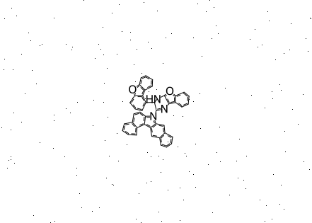 c1ccc2cc3c(cc2c1)c1c2ccccc2ccc1n3C1=Nc2c(oc3ccccc23)NC1c1cccc2oc3ccccc3c12